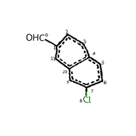 O=Cc1ccc2ccc(Cl)cc2c1